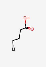 [Li][CH2]CCC(=O)O